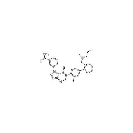 CCCN(C)Cc1ccccc1-c1ccc(-n2cnc3ncn(-c4cccc(C(N)=O)c4)c3c2=O)c(F)c1